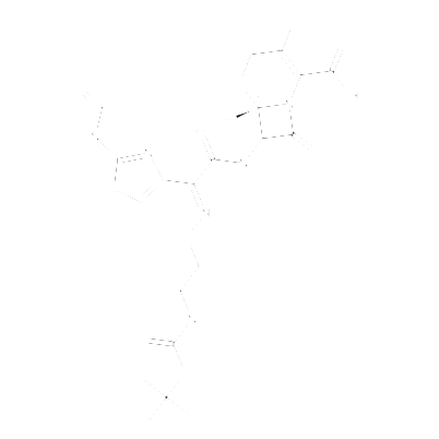 CC(C)(C)OC(=O)NCCON=C(C(=O)NC1C(=O)N2C(C(=O)O)=C(Cl)CS[C@@H]12)c1csc(NC=O)n1